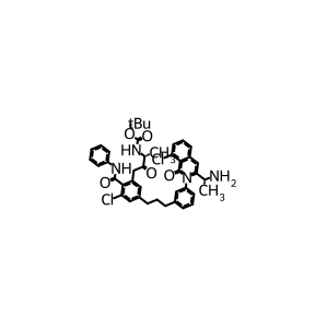 C[C@H](NC(=O)OC(C)(C)C)C(=O)Cc1cc(CCCc2cccc(-n3c([C@H](C)N)cc4cccc(Cl)c4c3=O)c2)cc(Cl)c1C(=O)Nc1ccccc1